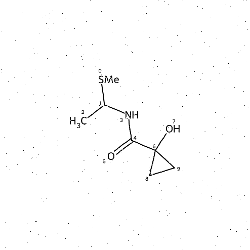 CSC(C)NC(=O)C1(O)CC1